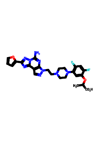 CC(Oc1cc(N2CCN(CCn3ncc4c3nc(N)n3nc(-c5ccco5)nc43)CC2)c(F)cc1F)C(=O)O